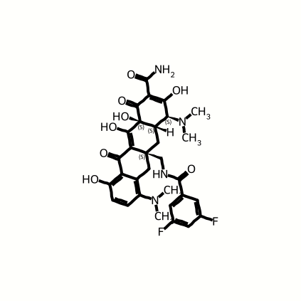 CN(C)c1ccc(O)c2c1C[C@@]1(CNC(=O)c3cc(F)cc(F)c3)C[C@H]3[C@H](N(C)C)C(O)=C(C(N)=O)C(=O)[C@@]3(O)C(O)=C1C2=O